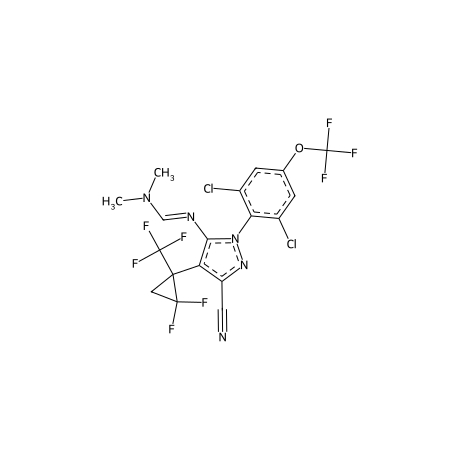 CN(C)C=Nc1c(C2(C(F)(F)F)CC2(F)F)c(C#N)nn1-c1c(Cl)cc(OC(F)(F)F)cc1Cl